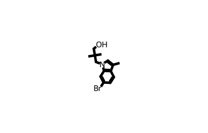 Cc1cn(CC(C)(C)CO)c2cc(Br)ccc12